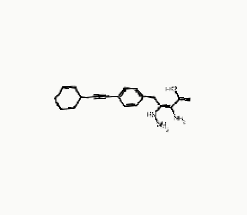 C=C(O)/C(N)=C(\Cc1ccc(C#CC2CCCCC2)cc1)NN